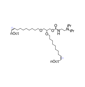 CCCCCCCC/C=C\CCCCCCCCOCC(COC(=O)NCCN(C(C)C)C(C)C)OCCCCCCCC/C=C\CCCCCCCC